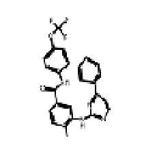 Cc1ccc(C(=O)Nc2ccc(OC(F)(F)F)cc2)cc1Nc1nccc(-c2ccccc2)n1